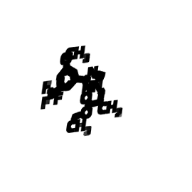 C=C(Cn1cnc(-c2cc(OC)cc(C(F)(F)F)c2)n1)C(=O)OCC